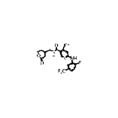 CC(C)c1cc(Nc2cc(C(F)(F)F)ccc2F)ncc1C(=O)NCC1CCOC(=O)C1